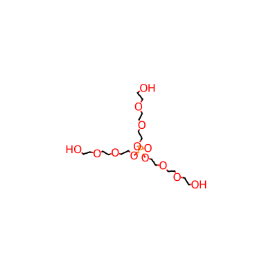 O=P(OCCOCCOCCO)(OCCOCCOCCO)OCCOCCOCCO